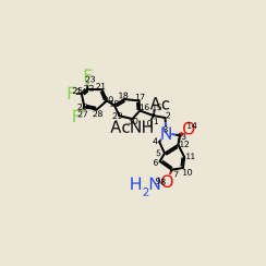 CC(=O)NC(CN1Cc2cc(ON)ccc2C1=O)(C(C)=O)C1=CC=C(c2cc(F)c(F)c(F)c2)CC1